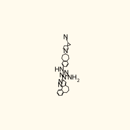 N#C[C@H]1CC12CCN([C@H]1CCc3ccc(Nc4nc(N)n(-c5cc6c(nn5)-c5ccccc5CCC6)n4)cc3CC1)C2